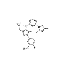 CSc1cc(-c2nn(CC3CC3)c(Nc3cc(-n4nc(C)cc4C)ncn3)c2C)ccc1F